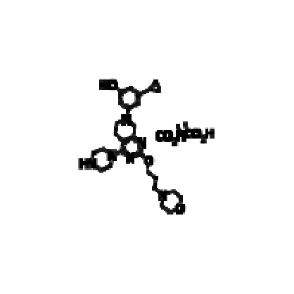 CC(=O)O.CC(=O)O.Oc1cc(C2CC2)cc(N2CCc3c(nc(OCCCN4CCOCC4)nc3N3CCNCC3)C2)c1